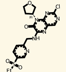 CCS(=O)(=O)c1ccc(CNc2nc3cnc(Cl)nc3n([C@@H]3CCOC3)c2=O)nc1